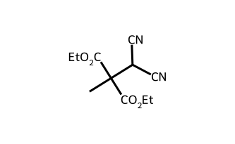 CCOC(=O)C(C)(C(=O)OCC)C(C#N)C#N